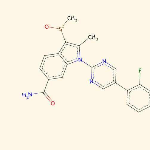 Cc1c([S+](C)[O-])c2ccc(C(N)=O)cc2n1-c1ncc(-c2ccccc2F)cn1